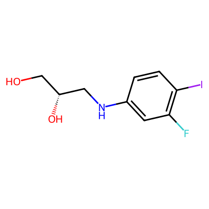 OC[C@@H](O)CNc1ccc(I)c(F)c1